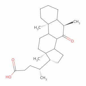 C[C@H](CCC(=O)O)[C@H]1CCC2C3C(=O)[C@H](C)C4CCCC[C@]4(C)C3CC[C@@]21C